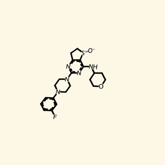 [O-][S+]1CCc2nc(N3CCN(c4cccc(F)c4)CC3)nc(NC3CCOCC3)c21